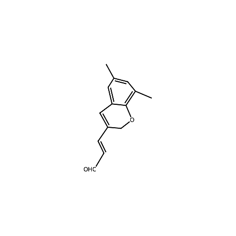 Cc1cc(C)c2c(c1)C=C(/C=C/C=O)CO2